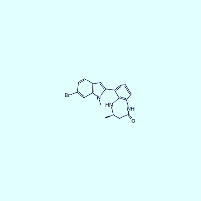 C[C@@H]1CC(=O)Nc2cccc(-c3cc4ccc(Br)cc4n3C)c2N1